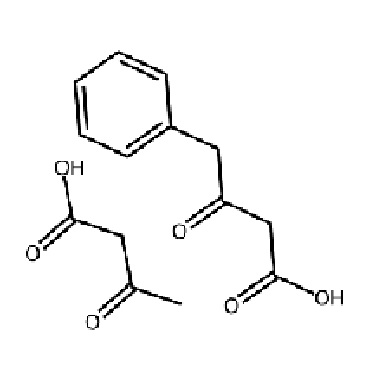 CC(=O)CC(=O)O.O=C(O)CC(=O)Cc1ccccc1